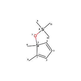 CC1=CC=C[Si]1(C)O[Si](C)(C)C